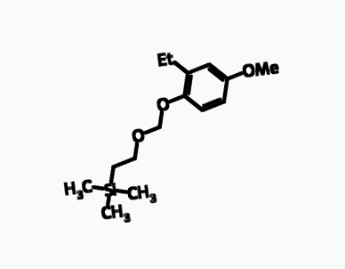 CCc1cc(OC)ccc1OCOCC[Si](C)(C)C